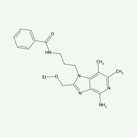 CCOCc1nc2c(N)nc(C)c(C)c2n1CCCNC(=O)c1ccccc1